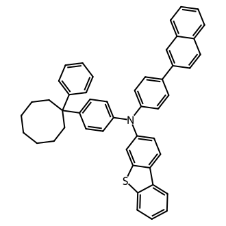 c1ccc(C2(c3ccc(N(c4ccc(-c5ccc6ccccc6c5)cc4)c4ccc5c(c4)sc4ccccc45)cc3)CCCCCCC2)cc1